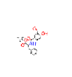 COC(=O)C(Cc1ccccc1)NC(=O)c1ccc(O)c(C=O)c1